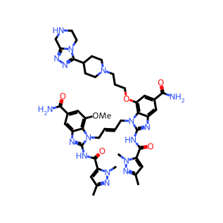 COc1cc(C(N)=O)cc2nc(NC(=O)c3cc(C)nn3C)n(C/C=C/Cn3c(NC(=O)c4cc(C)nn4C)nc4cc(C(N)=O)cc(OCCCN5CCC(c6nnc7n6CCNC7)CC5)c43)c12